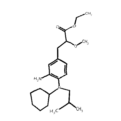 CCOC(=O)C(Cc1ccc(N(CC(C)C)C2CCCCC2)c(N)c1)OC